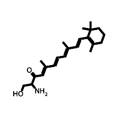 CC1=C(/C=C/C(C)=C/C=C/C(C)=C/C(=O)C(N)CO)C(C)(C)CCC1